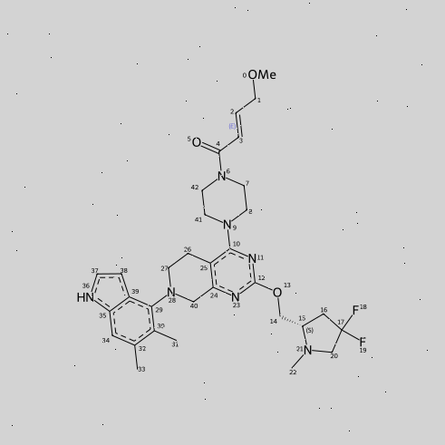 COC/C=C/C(=O)N1CCN(c2nc(OC[C@@H]3CC(F)(F)CN3C)nc3c2CCN(c2c(C)c(C)cc4[nH]ccc24)C3)CC1